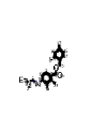 CCN(C)/C=N/c1ccc(C(=O)OCc2ccc(C)cc2F)c(C)c1C